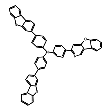 c1ccc2c(c1)oc1cc(-c3ccc(N(c4ccc(-c5ccc6c(c5)sc5ccccc56)cc4)c4ccc(-c5ccc6c(c5)sc5ccccc56)cc4)cc3)ncc12